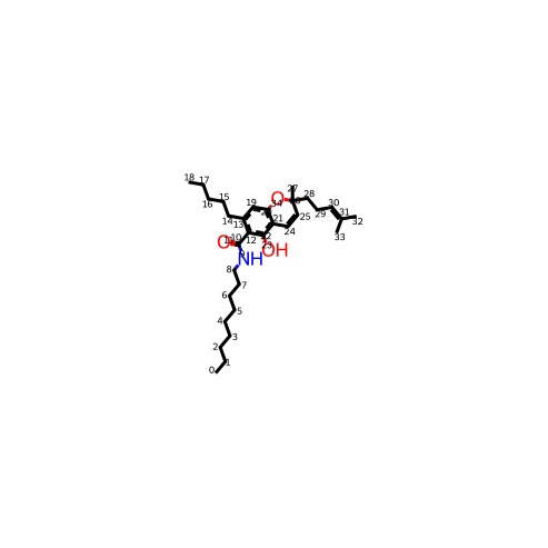 CCCCCCCCCNC(=O)c1c(CCCCC)cc2c(c1O)C=CC(C)(CCC=C(C)C)O2